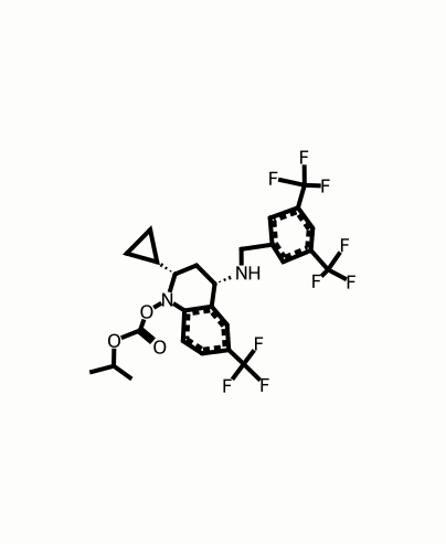 CC(C)OC(=O)ON1c2ccc(C(F)(F)F)cc2[C@@H](NCc2cc(C(F)(F)F)cc(C(F)(F)F)c2)C[C@H]1C1CC1